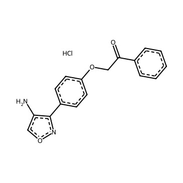 Cl.Nc1conc1-c1ccc(OCC(=O)c2ccccc2)cc1